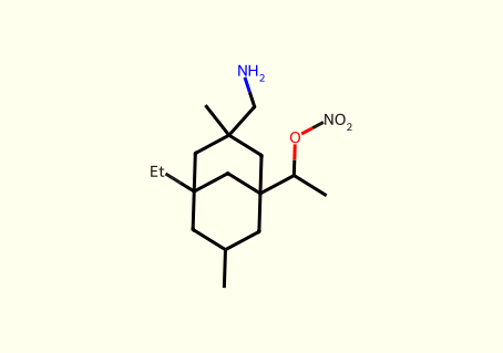 CCC12CC(C)CC(C(C)O[N+](=O)[O-])(CC(C)(CN)C1)C2